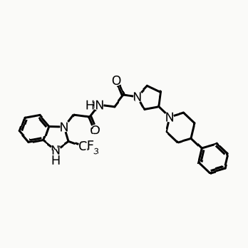 O=C(CN1c2ccccc2NC1C(F)(F)F)NCC(=O)N1CCC(N2CCC(c3ccccc3)CC2)C1